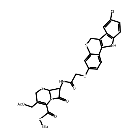 CC(=O)OCC1=C(C(=O)OC(C)(C)C)N2C(=O)C(NC(=O)COc3ccc4c(c3)SCc3c-4[nH]c4ccc(Cl)cc34)C2SC1